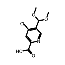 COC(OC)c1cnc(C(=O)O)cc1Cl